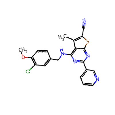 COc1ccc(CNc2nc(-c3cccnc3)nc3sc(C#N)c(C)c23)cc1Cl